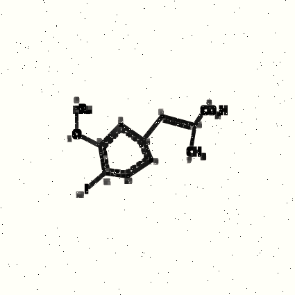 CCCCOc1cc(C=C(C)C(=O)O)ccc1I